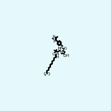 COC(=O)CCCCCCCCCCC(=O)N[C@H](C(=O)N1C[C@H](O)C[C@H]1C(=O)NCc1ccc(-c2scnc2C)cc1)C(C)(C)C